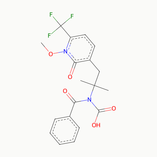 COn1c(C(F)(F)F)ccc(CC(C)(C)N(C(=O)O)C(=O)c2ccccc2)c1=O